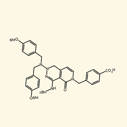 CCCCNC1=NN(N(Cc2ccc(OC)cc2)Cc2ccc(OC)cc2)Cc2ccn(Cc3ccc(C(=O)O)cc3)c(=O)c21